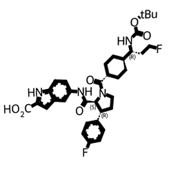 CC(C)(C)OC(=O)N[C@H](CCF)[C@H]1CC[C@H](C(=O)N2CC[C@H](c3ccc(F)cc3)[C@H]2C(=O)Nc2ccc3[nH]c(C(=O)O)cc3c2)CC1